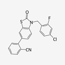 N#Cc1ccccc1-c1ccc2c(c1)sc(=O)n2Cc1ccc(Cl)cc1F